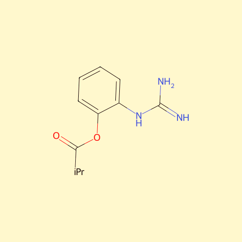 CC(C)C(=O)Oc1ccccc1NC(=N)N